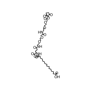 O=C(O)CCCCCCCCCCCCCCC(=O)NC(CCC(=O)NCCOCCOCC(=O)NCCOCCOCC(=O)ON1C(=O)CCC1=O)C(=O)O